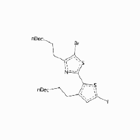 CCCCCCCCCCCCc1cc(I)sc1-c1nc(CCCCCCCCCCCC)c(Br)s1